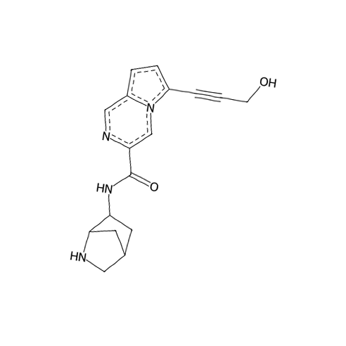 O=C(NC1CC2CNC1C2)c1cn2c(C#CCO)ccc2cn1